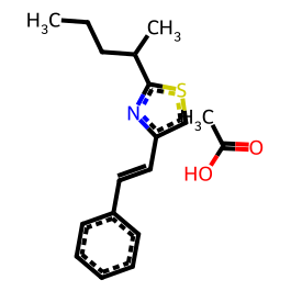 CC(=O)O.CCCC(C)c1nc(/C=C/c2ccccc2)cs1